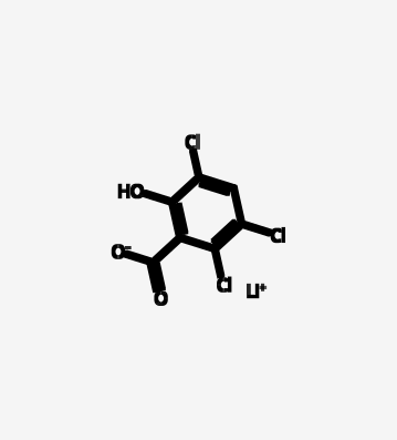 O=C([O-])c1c(O)c(Cl)cc(Cl)c1Cl.[Li+]